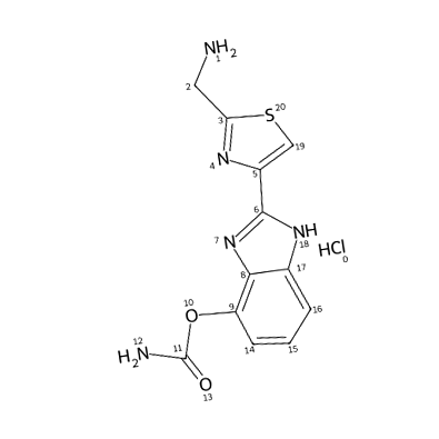 Cl.NCc1nc(-c2nc3c(OC(N)=O)cccc3[nH]2)cs1